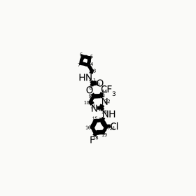 O=C(NCC1CCC1)Oc1cnc(Nc2ccc(F)cc2Cl)nc1C(F)(F)F